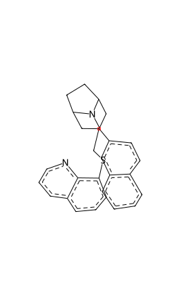 c1ccc2cc(C3CC4CCC(C3)N4CCSc3cccc4cccnc34)ccc2c1